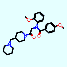 COc1ccc(C(=O)N(CC(=O)N2CCC(CN3CCCCC3)CC2)c2ccccc2OC)cc1